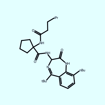 CCCCc1cccc2c1NC(=O)C(NC(=O)C1(NC(=O)CCC(C)C)CCCC1)N=C2C(C)(C)C